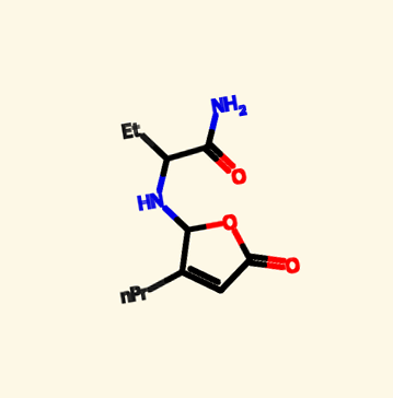 CCCC1=CC(=O)OC1NC(CC)C(N)=O